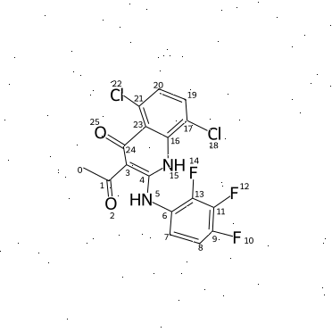 CC(=O)c1c(Nc2ccc(F)c(F)c2F)[nH]c2c(Cl)ccc(Cl)c2c1=O